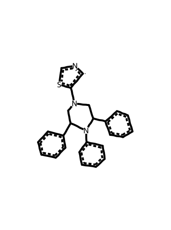 [c]1ncsc1N1CC(c2ccccc2)N(c2ccccc2)C(c2ccccc2)C1